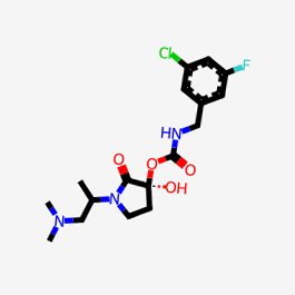 CC(CN(C)C)N1CC[C@](O)(OC(=O)NCc2cc(F)cc(Cl)c2)C1=O